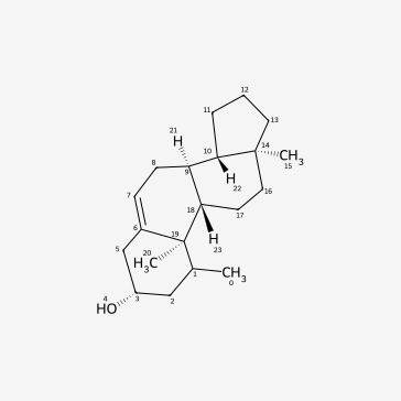 CC1C[C@H](O)CC2=CC[C@H]3[C@@H]4CCC[C@@]4(C)CC[C@@H]3[C@]21C